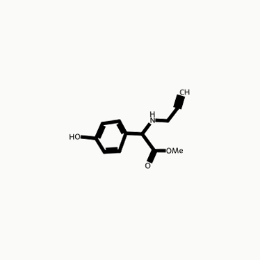 C#CCNC(C(=O)OC)c1ccc(O)cc1